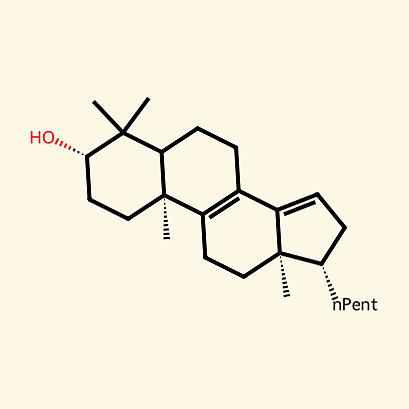 CCCCC[C@H]1CC=C2C3=C(CC[C@@]21C)[C@@]1(C)CC[C@H](O)C(C)(C)C1CC3